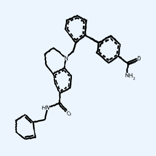 NC(=O)c1ccc(-c2ccccc2CN2CCCc3cc(C(=O)NCC4=CCCC=C4)ccc32)cc1